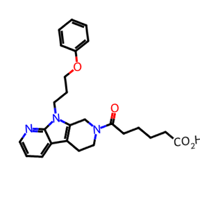 O=C(O)CCCCC(=O)N1CCc2c(n(CCCOc3ccccc3)c3ncccc23)C1